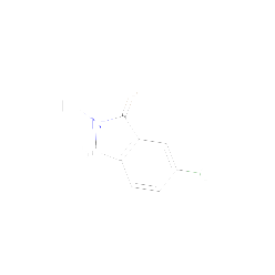 CCn1[se]c2ccc(Cl)cc2c1=S